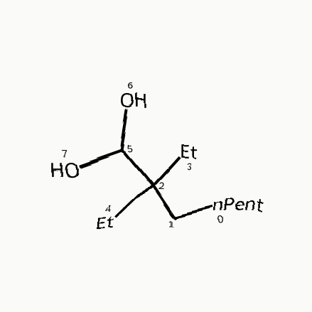 CCCCCCC(CC)(CC)C(O)O